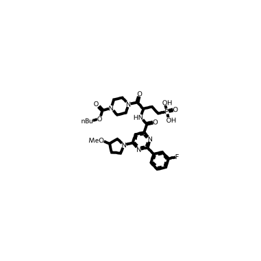 CCCCOC(=O)N1CCN(C(=O)C(CCP(=O)(O)O)NC(=O)c2cc(N3CCC(OC)C3)nc(-c3cccc(F)c3)n2)CC1